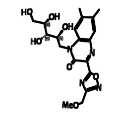 COCc1noc(-c2nc3cc(C)c(C)cc3n(C[C@H](O)[C@H](O)[C@H](O)CO)c2=O)n1